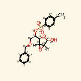 Cc1ccc(S(=O)(=O)O[C@H](COCc2ccccc2)[C@H]2O[C@H](O)[C@@H]3O[C@@H]32)cc1